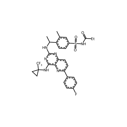 CCC(=O)NS(=O)(=O)c1ccc(C(C)Nc2nc(NC3(C(F)(F)F)CC3)c3nc(-c4ccc(F)cc4)ccc3n2)c(C)c1